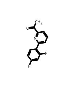 CC(=O)c1cccc(-c2ccc(F)cc2F)n1